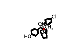 CC([C@@H](O)c1ccc(O)cc1)N1C2CCC1CC(Sc1ccc(Cl)cc1)C2